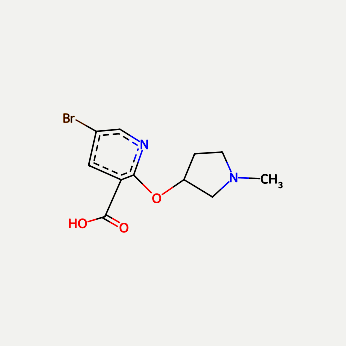 CN1CCC(Oc2ncc(Br)cc2C(=O)O)C1